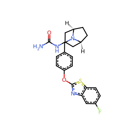 NC(=O)NC1C[C@H]2CC[C@@H](C1)N2Cc1ccc(Oc2nc3cc(F)ccc3s2)cc1